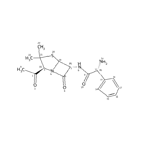 CC(=O)[C@@H]1N2C(=O)[C@@H](NC(=O)[C@H](N)c3ccccc3)C2SC1(C)C